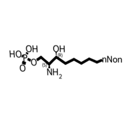 CCCCCCCCCCCCCC[C@@H](O)[C@@H](N)COP(=O)(O)O